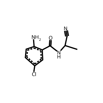 CC(C#N)NC(=O)c1cc(Cl)ccc1N